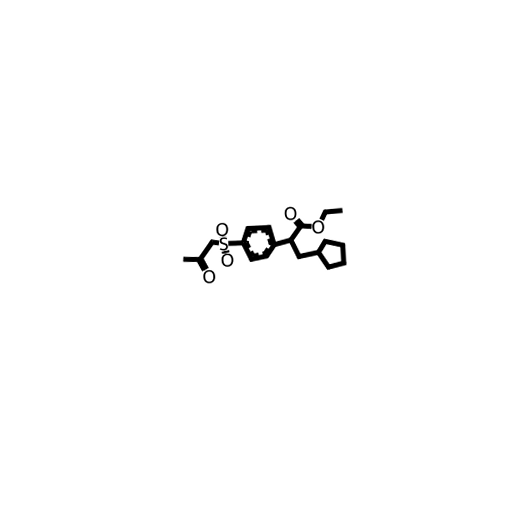 CCOC(=O)C(CC1CCCC1)c1ccc(S(=O)(=O)CC(C)=O)cc1